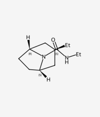 CCNC(=O)N1[C@@H]2CC[C@H]1C[C@H](CC)C2